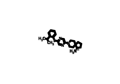 CC(C)c1ccccc1Sc1cnc(N2CCC3(CCC[C@@H]3N)CC2)cn1